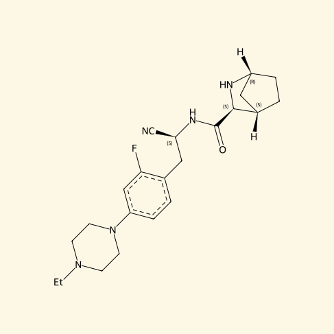 CCN1CCN(c2ccc(C[C@@H](C#N)NC(=O)[C@H]3N[C@@H]4CC[C@H]3C4)c(F)c2)CC1